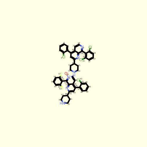 Clc1ccccc1-c1cc(C2CCNCC2)nc2c(-c3c(Cl)cccc3Cl)nccc12.[O-][n+]1ccc2c(-c3ccccc3Cl)cc(C3CCNCC3)nc2c1-c1c(F)cccc1F